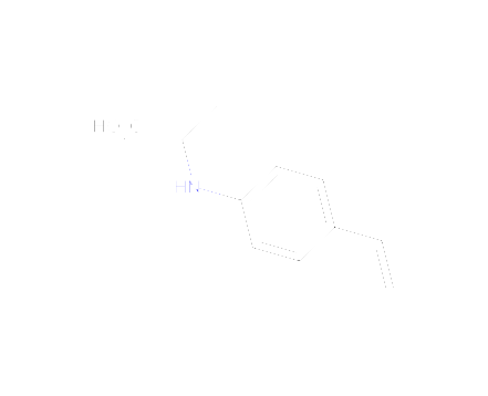 C=Cc1ccc(N[C@@H](C)C(=O)O)cc1